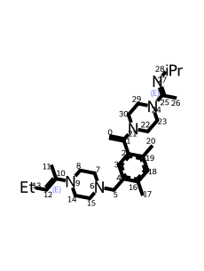 C=C(c1cc(CN2CCN(/C(C)=C/CC)CC2)c(C)cc1C)N1CCN(/C(C)=N/C(C)C)CC1